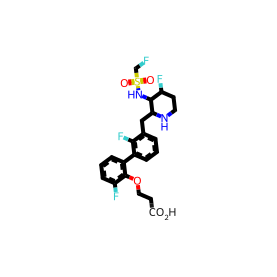 O=C(O)CCOc1c(F)cccc1-c1cccc(CC2NCCC(F)C2NS(=O)(=O)CF)c1F